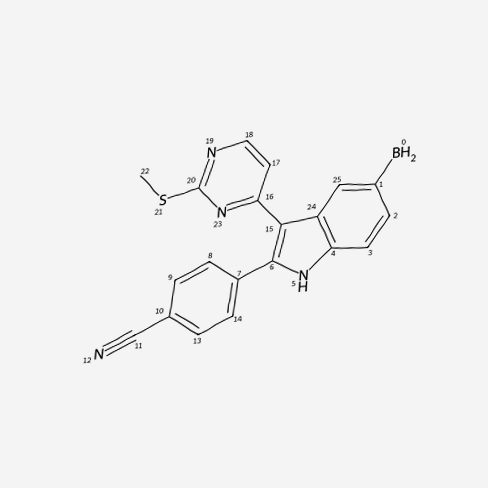 Bc1ccc2[nH]c(-c3ccc(C#N)cc3)c(-c3ccnc(SC)n3)c2c1